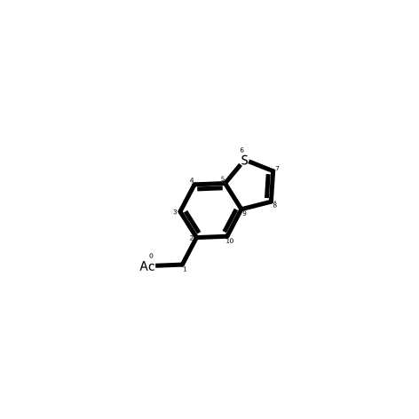 CC(=O)Cc1ccc2sc[c]c2c1